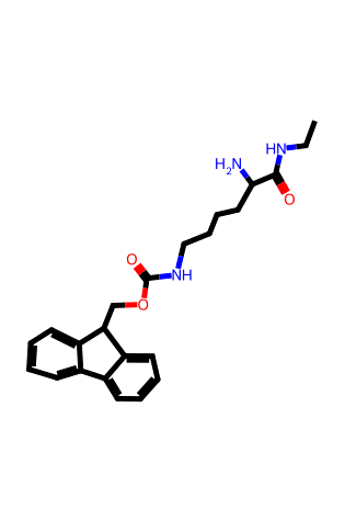 CCNC(=O)C(N)CCCCNC(=O)OCC1c2ccccc2-c2ccccc21